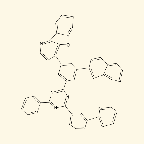 c1ccc(-c2nc(-c3cccc(-c4ccccn4)c3)nc(-c3cc(-c4ccc5ccccc5c4)cc(-c4ccnc5c4oc4ccccc45)c3)n2)cc1